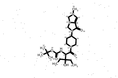 CCC(O)(CC)C(NC(=O)OC(C)(C)C)C(=O)N1CCC(N2CN3CN(C)C=C3C2=O)CC1